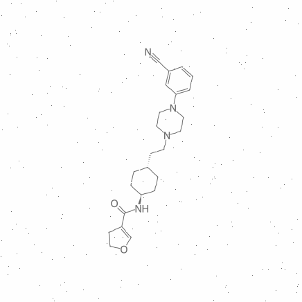 N#Cc1cccc(N2CCN(CC[C@H]3CC[C@H](NC(=O)C4=COCC4)CC3)CC2)c1